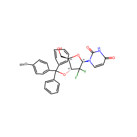 COc1ccc(C(O[C@@H]2[C@@H](CO)O[C@@H](n3ccc(=O)[nH]c3=O)C2(F)F)(c2ccccc2)c2ccccc2)cc1